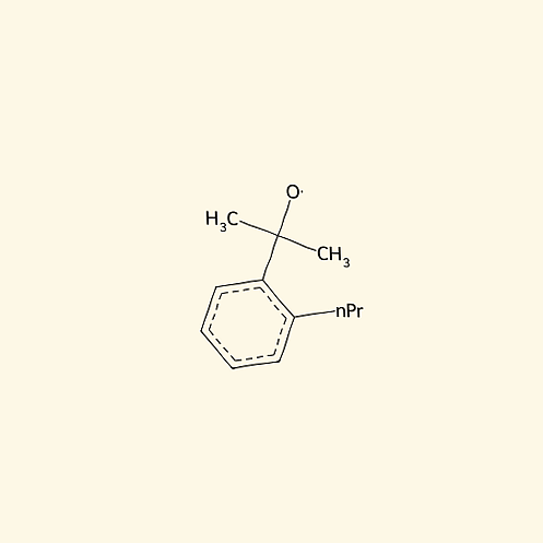 CCCc1ccccc1C(C)(C)[O]